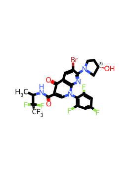 CC(NC(=O)c1cn(-c2c(F)cc(F)cc2F)c2nc(N3CC[C@H](O)C3)c(Br)cc2c1=O)C(F)(F)C(F)(F)F